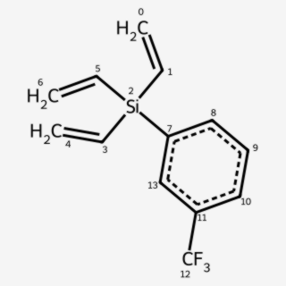 C=C[Si](C=C)(C=C)c1cccc(C(F)(F)F)c1